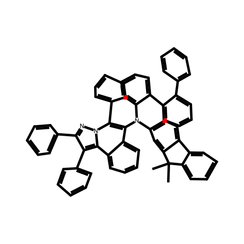 CC1(C)c2ccccc2-c2ccc(N(c3ccccc3-c3ccccc3-c3ccccc3)c3c(-c4ccccc4)n4nc(-c5ccccc5)c(-c5ccccc5)c4c4ccccc34)cc21